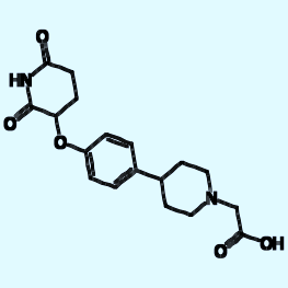 O=C(O)CN1CCC(c2ccc(OC3CCC(=O)NC3=O)cc2)CC1